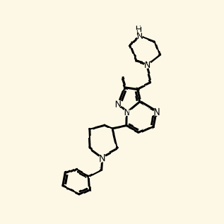 Cc1nn2c(C3CCCN(Cc4ccccc4)C3)ccnc2c1CN1CCNCC1